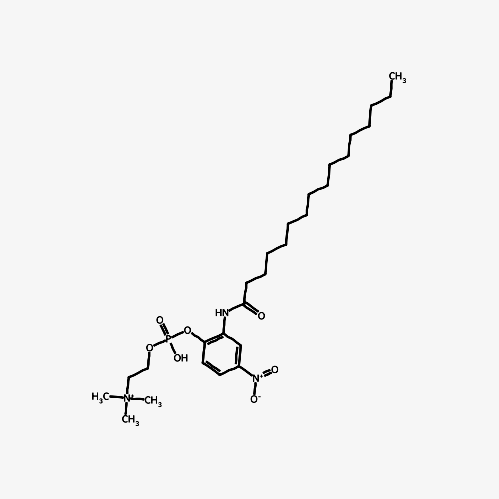 CCCCCCCCCCCCCCCC(=O)Nc1cc([N+](=O)[O-])ccc1OP(=O)(O)OCC[N+](C)(C)C